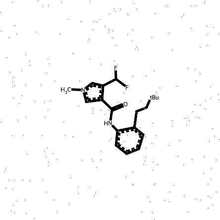 Cn1cc(C(=O)Nc2ccccc2CCC(C)(C)C)c(C(F)F)c1